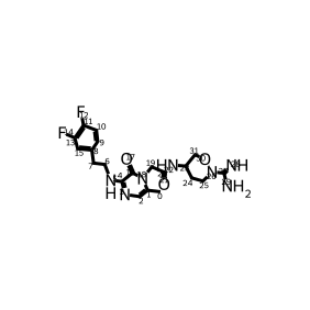 Cc1cnc(NCCc2ccc(F)c(F)c2)c(=O)n1CC(=O)NC1CCN(C(=N)N)OC1